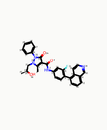 Cc1c(C(=O)Nc2ccc(-c3cccc4cnccc34)c(F)c2)c(=O)n(-c2ccccc2)n1C[C@H](C)O